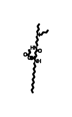 C=CC(=O)O.CCCCCCCCCCCCNC(=O)CCC(=O)NCCCCN(CCCC)CCCC